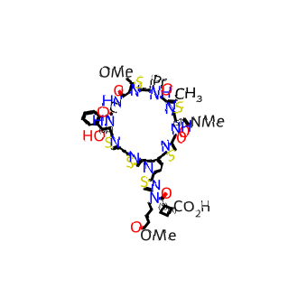 CNC(=O)C[C@@H]1NC(=O)c2csc(n2)-c2ccc(-c3nc(N(CCCCC(=O)OC)C(=O)[C@H]4CC[C@H]4C(=O)O)cs3)nc2-c2csc(n2)-c2csc(n2)[C@H]([C@@H](O)c2ccccc2)NC(=O)CNC(=O)c2nc(sc2COC)C(C(C)C)NC(=O)c2nc1sc2C